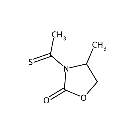 CC(=S)N1C(=O)OCC1C